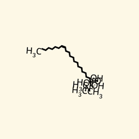 CCCCCCC/C=C\CCCCCCCCCCCCC(O)(C[N+](C)(C)C)P(=O)(O)O